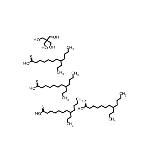 CCCCC(CCC)CCCCCCC(O)=S.CCCCC(CCC)CCCCCCC(O)=S.CCCCC(CCC)CCCCCCC(O)=S.CCCCC(CCC)CCCCCCC(O)=S.OCC(CO)(CO)CO